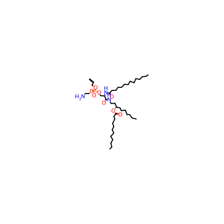 C=CCOP(=O)(OCCN)OCC(NC(=O)CCCCCCCCCCCCC)C(=O)NCCC(CCCCCCC)OC(=O)CCCCCCCCCCC